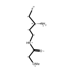 COCC(=O)NCC[C@@H](N)CF